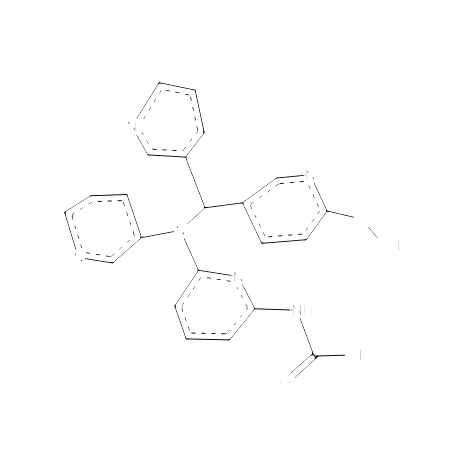 COc1ccc(C(c2cccnc2)N(c2cccnc2)c2cccc(NC(=O)O)n2)cn1